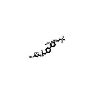 CC(C)(C)c1cc(NC(=O)Cc2ccc(-c3ccc(NCCS(C)(=O)=O)nc3)cc2)no1.CS(=O)(=O)O